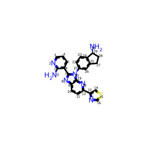 Nc1ncccc1-c1nc2ccc(-c3cscn3)nc2n1-c1ccc2c(c1)CC[C@@H]2N